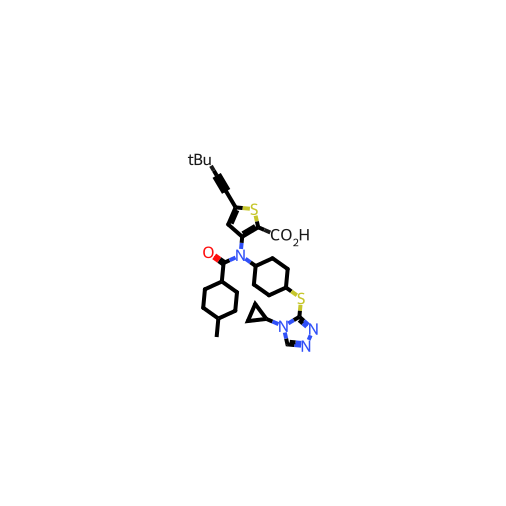 CC1CCC(C(=O)N(c2cc(C#CC(C)(C)C)sc2C(=O)O)C2CCC(Sc3nncn3C3CC3)CC2)CC1